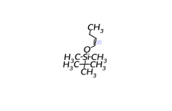 CC/C=C\O[Si](C)(C)C(C)(C)C